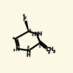 C=C1NN=C[C@@H](F)N1